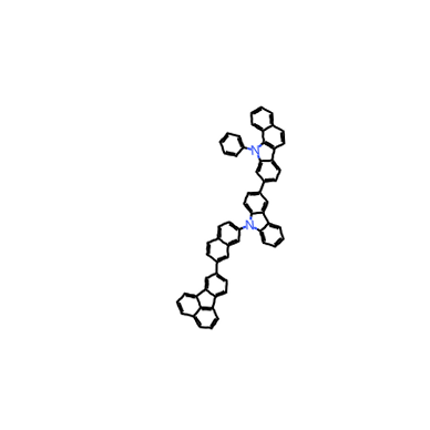 c1ccc(-n2c3cc(-c4ccc5c(c4)c4ccccc4n5-c4ccc5ccc(-c6ccc7c(c6)-c6cccc8cccc-7c68)cc5c4)ccc3c3ccc4ccccc4c32)cc1